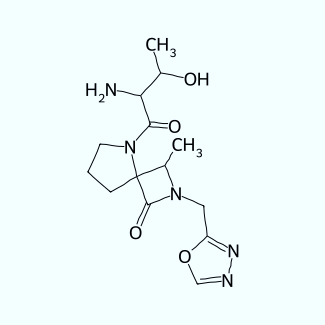 CC(O)C(N)C(=O)N1CCCC12C(=O)N(Cc1nnco1)C2C